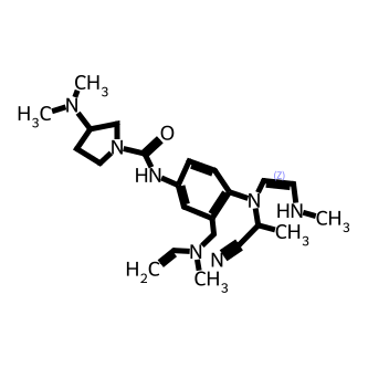 C=CN(C)Cc1cc(NC(=O)N2CCC(N(C)C)C2)ccc1N(/C=C\NC)C(C)C#N